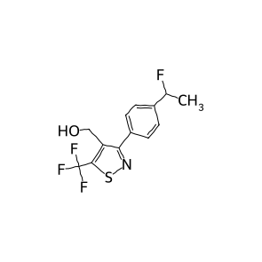 CC(F)c1ccc(-c2nsc(C(F)(F)F)c2CO)cc1